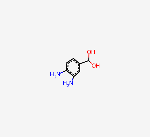 Nc1ccc(C(O)O)cc1N